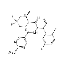 COc1ncc(C(=O)Nc2c(-c3cc(F)ccc3F)ccnc2C2CCC(F)(F)C[C@H]2C)cn1